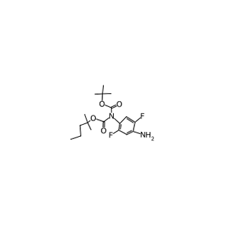 CCCC(C)(C)OC(=O)N(C(=O)OC(C)(C)C)c1cc(F)c(N)cc1F